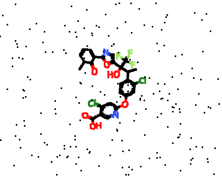 CC1C=CC=C(c2ncc(C(O)(C(C)c3ccc(Oc4cc(Cl)c(C(=O)O)cn4)cc3Cl)C(F)(F)F)o2)C1=O